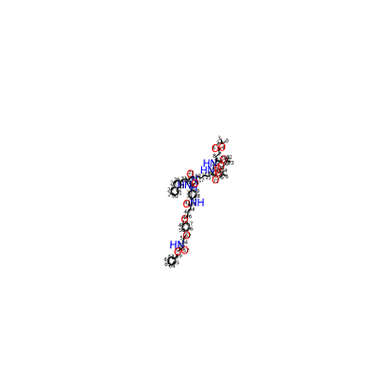 CC(C)(C)OC(=O)CC[C@H](NC(=O)N[C@@H](CCCCNC(=O)[C@H](Cc1ccc2ccccc2c1)NC(=O)C1CCC(NC(=O)CCCOC2CCC(OCCNC(=O)OCc3ccccc3)CC2)CC1)C(=O)OC(C)(C)C)C(=O)OC(C)(C)C